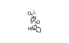 CC(C)C(=O)c1csc(C(=O)c2c[nH]c3ccccc23)n1